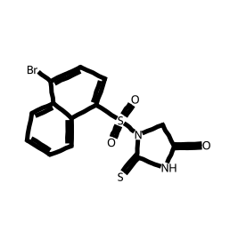 O=C1CN(S(=O)(=O)c2ccc(Br)c3ccccc23)C(=S)N1